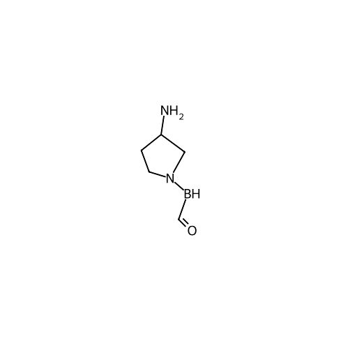 NC1CCN(BC=O)C1